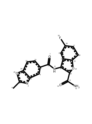 Cc1nc2cc(C(=O)Nc3c(C(N)=O)oc4ccc(F)cc34)ccc2o1